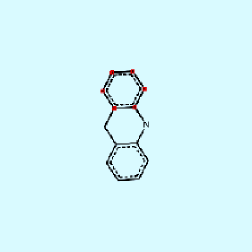 c1ccc2c(c1)C1c3ccccc3N2c2ccccc21